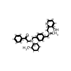 C[C@H]1CCCC[C@H]1N(CC(=O)c1ccccc1)Cc1ccc(CN(C)Cc2ncccc2O)cc1